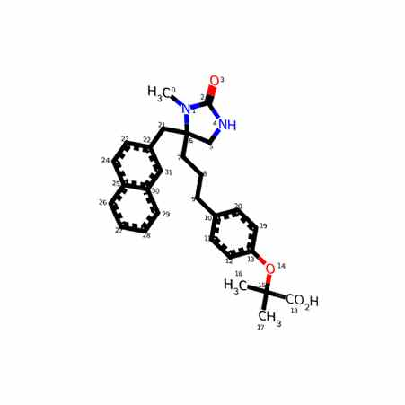 CN1C(=O)NCC1(CCCc1ccc(OC(C)(C)C(=O)O)cc1)Cc1ccc2ccccc2c1